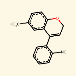 [C-]#[N+]c1ccccc1C1=CCOc2ccc(C(=O)O)cc21